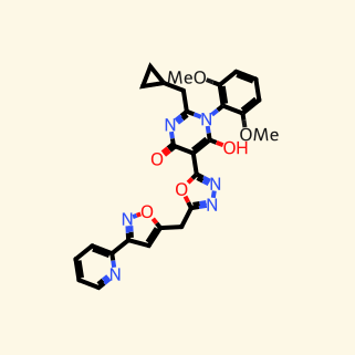 COc1cccc(OC)c1-n1c(CC2CC2)nc(=O)c(-c2nnc(Cc3cc(-c4ccccn4)no3)o2)c1O